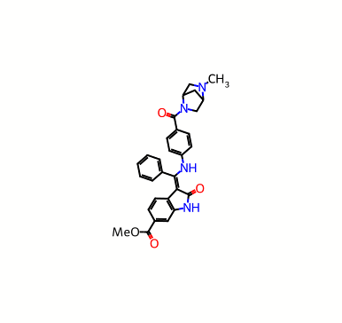 COC(=O)c1ccc2c(c1)NC(=O)/C2=C(\Nc1ccc(C(=O)N2CC3CC2CN3C)cc1)c1ccccc1